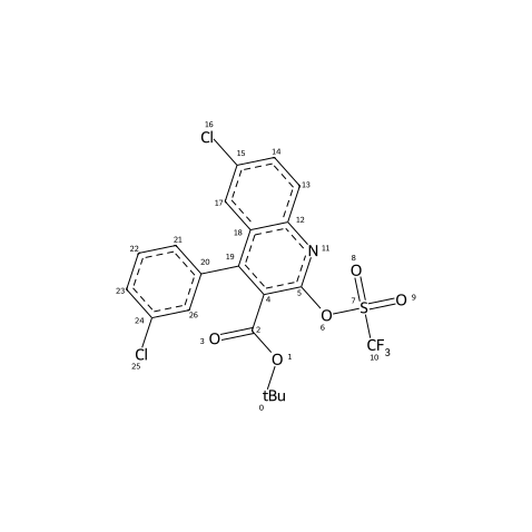 CC(C)(C)OC(=O)c1c(OS(=O)(=O)C(F)(F)F)nc2ccc(Cl)cc2c1-c1cccc(Cl)c1